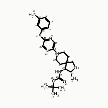 C[C@@H]1OCC2(CCN(c3cnc(Sc4cccc(N)c4)cn3)CC2)[C@@H]1NC(=O)OC(C)(C)C